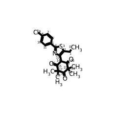 CCc1sc(-c2ccc(Cl)cc2)nc1C1C(=O)C(C)(C)C(=O)C(C)(C)C1=O